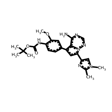 COc1cc(-c2cc(-c3cn(C)c(C)n3)n3ncnc(N)c23)ccc1NC(=O)OC(C)(C)C